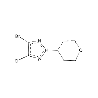 Clc1nn(C2CCOCC2)nc1Br